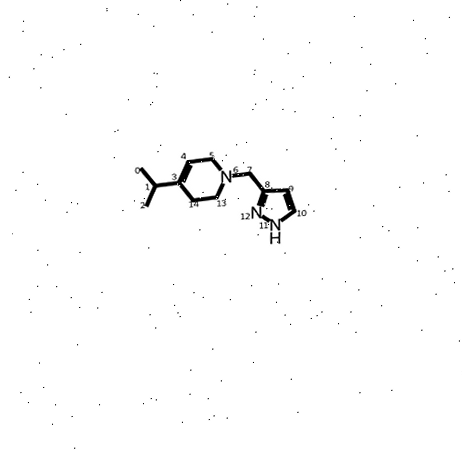 CC(C)C1=CCN(Cc2cc[nH]n2)CC1